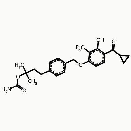 CC(C)(CCc1ccc(COc2ccc(C(=O)C3CC3)c(O)c2C(F)(F)F)cc1)OC(N)=O